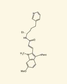 CCCCCc1c(/C=C/C(=O)N[C@H](CC)CCCc2cccnc2)n(C)c2cc(OC)ccc12